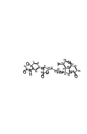 O=C1COc2ccc(N3C[C@@H](CCCN[C@@H]4Cn5c(=O)ccc6ncc(F)c4c65)OC3=O)cc2N1